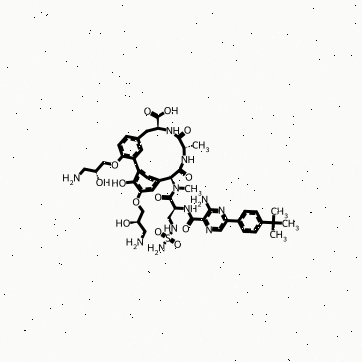 C[C@@H]1NC(=O)[C@@H](N(C)C(=O)[C@H](CNS(N)(=O)=O)NC(=O)c2ncc(-c3ccc(C(C)(C)C)cc3)nc2N)c2cc(OC[C@H](O)CN)c(O)c(c2)-c2cc(ccc2OC[C@H](O)CN)C[C@@H](C(=O)O)NC1=O